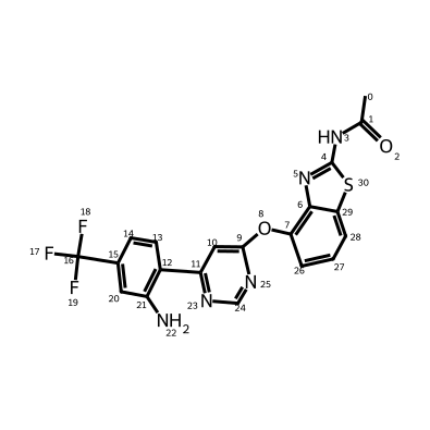 CC(=O)Nc1nc2c(Oc3cc(-c4ccc(C(F)(F)F)cc4N)ncn3)cccc2s1